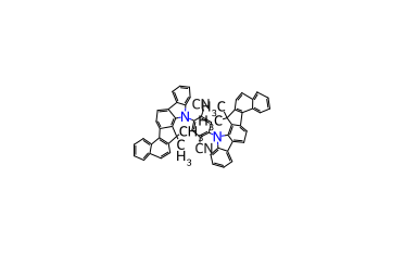 CC1(C)c2ccc3ccccc3c2-c2ccc3c4ccccc4n(-c4cc(C#N)c(-n5c6ccccc6c6ccc7c(c65)C(C)(C)c5ccc6ccccc6c5-7)cc4C#N)c3c21